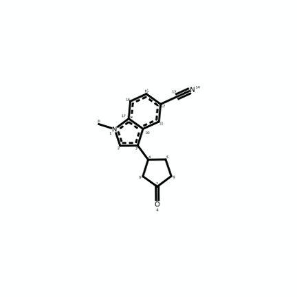 Cn1cc(C2CCC(=O)C2)c2cc(C#N)ccc21